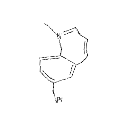 CC(C)c1ccc2c(ccc[n+]2C)c1